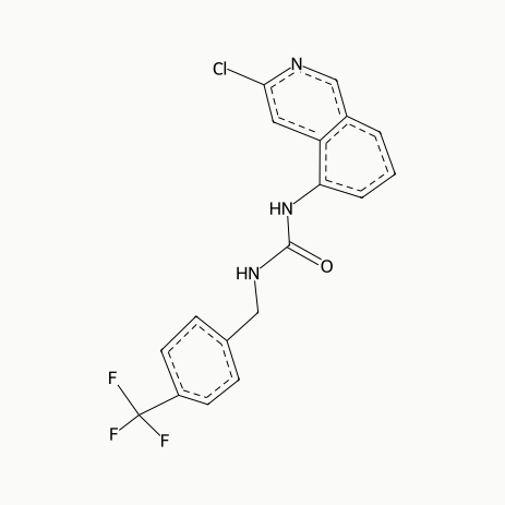 O=C(NCc1ccc(C(F)(F)F)cc1)Nc1cccc2cnc(Cl)cc12